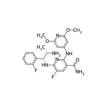 COc1cc(Nc2nc(N[C@H](c3ccccc3F)[C@H](C)N)c(F)cc2C(N)=O)cc(OC)n1